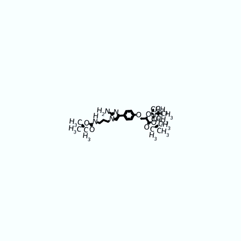 CC(C)(C)OC(=O)NCCCn1cc(-c2ccc(OCC(O[Si](C)(C)C(C)(C)C)C(=O)OC(C)(C)C)cc2)nc1N